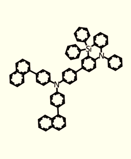 c1ccc(N2c3ccccc3[Si](c3ccccc3)(c3ccccc3)c3cc(-c4ccc(N(c5ccc(-c6cccc7ccccc67)cc5)c5ccc(-c6cccc7ccccc67)cc5)cc4)ccc32)cc1